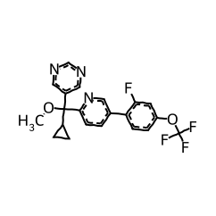 COC(c1cncnc1)(c1ccc(-c2ccc(OC(F)(F)F)cc2F)cn1)C1CC1